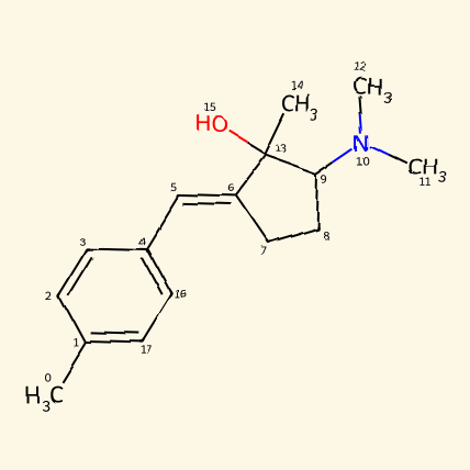 Cc1ccc(/C=C2\CCC(N(C)C)C2(C)O)cc1